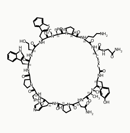 CCCCC[C@H]1C(=O)N2CCC[C@@H]2C(=O)N[C@@H](CCCN)C(=O)N[C@H](C(=O)NCC(N)=O)CSCC(=O)N[C@@H](Cc2ccc(O)cc2)C(=O)N(C)[C@@H](C)C(=O)N[C@@H](CC(N)=O)C(=O)N2CCC[C@H]2C(=O)N[C@@H](Cc2cnc[nH]2)C(=O)N[C@@H](CC(C)C)C(=O)N2CCCC2C(=O)N[C@@H](Cc2c[nH]c3ccccc23)C(=O)N[C@@H](CCO)C(=O)N[C@@H](Cc2csc3ccccc23)C(=O)N1C